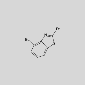 CCc1nc2c(CC)cccc2s1